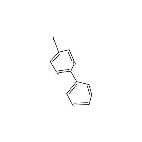 Ic1cnc(-c2ccccc2)nc1